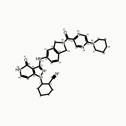 N#CC1CCCCC1n1nc(Nc2ccc3c(c2)CN(C(=O)c2cnc(N4CCCCC4)cn2)C3)c2c(=O)[nH]ccc21